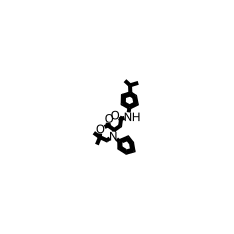 CC(C)c1ccc(NC(=O)CC2C(=O)OC(C)(C)CN2c2ccccc2)cc1